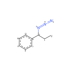 [CH2]CC(N=[N+]=[N-])c1ccccc1